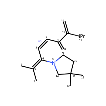 C=C(/C=C\C(=C(C)C)N1CCC(C)(C)C1)C(=C)C(C)C